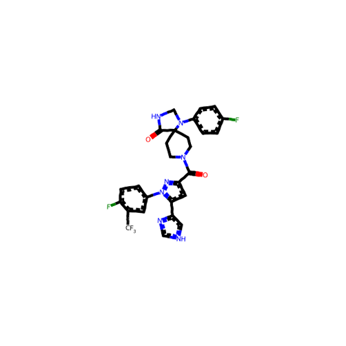 O=C(c1cc(-c2c[nH]cn2)n(-c2ccc(F)c(C(F)(F)F)c2)n1)N1CCC2(CC1)C(=O)NCN2c1ccc(F)cc1